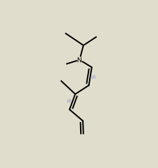 C=C/C=C(C)\C=C/N(C)C(C)C